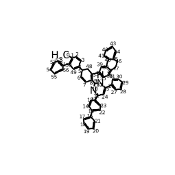 Cc1ccc(C2C=CC(C3N=C(c4ccc(-c5ccccc5)cc4)C=C(c4ccccc4)N3)=C(c3ccc4c(c3)-c3ccccc3CC4)C2)cc1-c1ccccc1